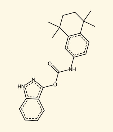 CC1(C)CCC(C)(C)c2cc(NC(=O)Oc3n[nH]c4ccccc34)ccc21